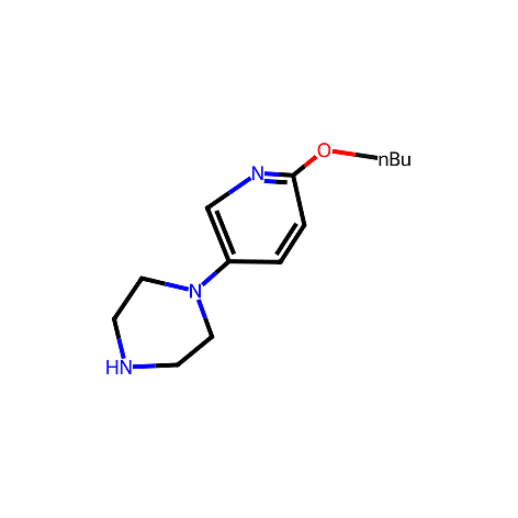 CCCCOc1ccc(N2CCNCC2)cn1